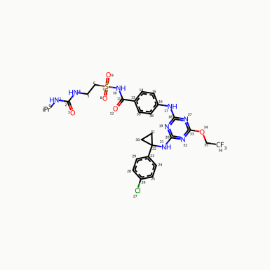 CC(C)NC(=O)NCCS(=O)(=O)NC(=O)c1ccc(Nc2nc(NC3(c4ccc(Cl)cc4)CC3)nc(OCC(F)(F)F)n2)cc1